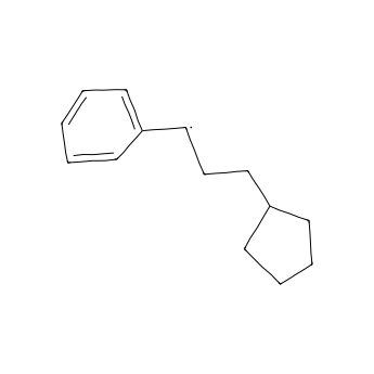 [CH](CCC1CCCC1)c1ccccc1